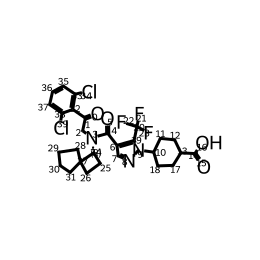 O=C(CN(C(=O)c1cnn(C2CCC(C(=O)O)CC2)c1C(F)(F)F)[C@@H]1CCC12CCCC2)c1c(Cl)cccc1Cl